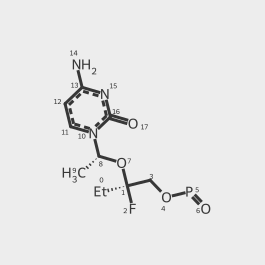 CC[C@@](F)(COP=O)O[C@H](C)n1ccc(N)nc1=O